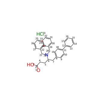 Cl.O=C(O)CCC(Cc1ccc(-c2ccccc2)cc1)N(Cc1ccccc1)Cc1ccccc1